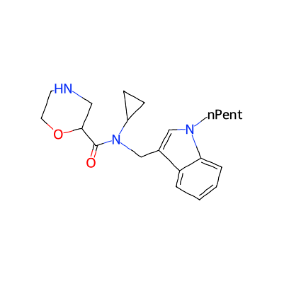 CCCCCn1cc(CN(C(=O)C2CNCCO2)C2CC2)c2ccccc21